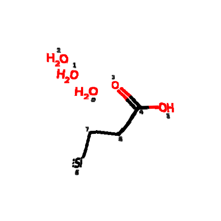 O.O.O.O=C(O)CC[Si]